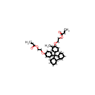 C=CC(=O)OCCOc1ccc(C2(c3ccc(OCCOC(=O)C=C)c(C)c3)c3ccccc3-c3ccccc32)cc1